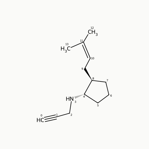 C#CCN[C@H]1CCC[C@@H]1CC=C(C)C